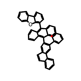 c1ccc(-c2cc3c(ccc4ccccc43)cc2-c2c3ccccc3c(-c3cccc4c3oc3ccccc34)c3ccccc23)cc1